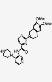 COc1cc2c(cc1OC)CN(c1nccc(C(=O)Nc3cnccc3N3CCNCC3)n1)CC2